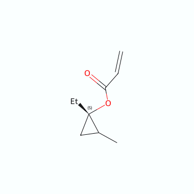 C=CC(=O)O[C@@]1(CC)CC1C